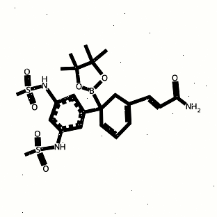 CC1(C)OB(C2(c3cc(NS(C)(=O)=O)cc(NS(C)(=O)=O)c3)C=CC=C(C=CC(N)=O)C2)OC1(C)C